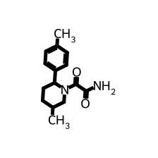 Cc1ccc(C2CCC(C)CN2C(=O)C(N)=O)cc1